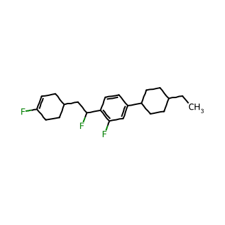 CCC1CCC(c2ccc(C(F)CC3CC=C(F)CC3)c(F)c2)CC1